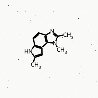 Cc1cc2c(ccc3nc(C)n(C)c32)[nH]1